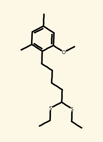 CCSC(CCCCc1c(C)cc(C)cc1OC)SCC